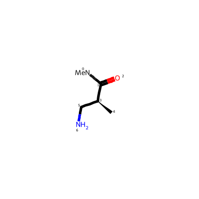 CNC(=O)[C@@H](C)CN